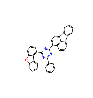 c1ccc(-c2nc(-c3ccc4c5c(cccc35)-c3ccccc3-4)nc(-c3cccc4oc5ccccc5c34)n2)cc1